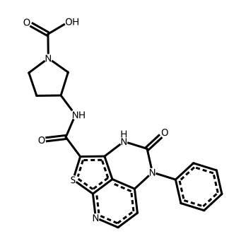 O=C(NC1CCN(C(=O)O)C1)c1sc2nccc3c2c1NC(=O)N3c1ccccc1